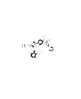 CC(Oc1nc(-c2ccc(NS(=O)(=O)CCN3CCCC3)cc2)cnc1N)c1c(F)ccc(F)c1Cl